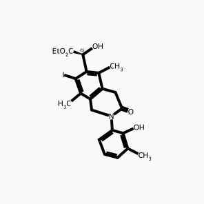 CCOC(=O)[C@@H](O)c1c(C)c2c(c(C)c1I)CN(c1cccc(C)c1O)C(=O)C2